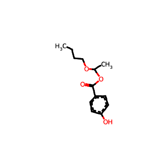 CCCCOC(C)OC(=O)c1ccc(O)cc1